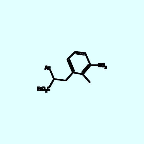 CCOC(=O)C(Cc1cccc([N+](=O)[O-])c1C)C(C)=O